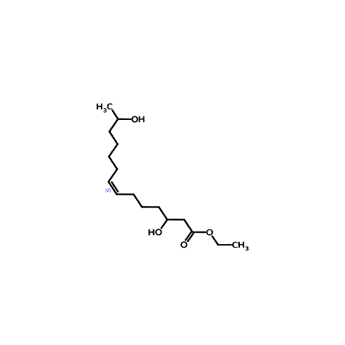 CCOC(=O)CC(O)CCC/C=C\CCCCC(C)O